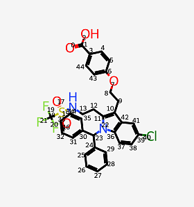 O=C(O)c1ccc(OCCc2c(CCNS(=O)(=O)C(F)(F)F)n(C(c3ccccc3)c3ccccc3)c3ccc(Cl)cc23)cc1